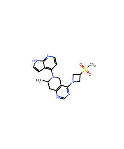 C[C@@H]1Cc2ncnc(N3CC(S(C)(=O)=O)C3)c2CN1c1ccnc2[nH]ccc12